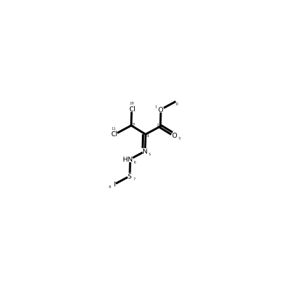 COC(=O)/C(=N/NSI)C(Cl)Cl